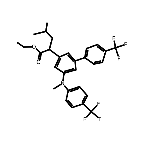 CCOC(=O)C(CC(C)C)c1cc(-c2ccc(C(F)(F)F)cc2)cc(N(C)c2ccc(C(F)(F)F)cc2)c1